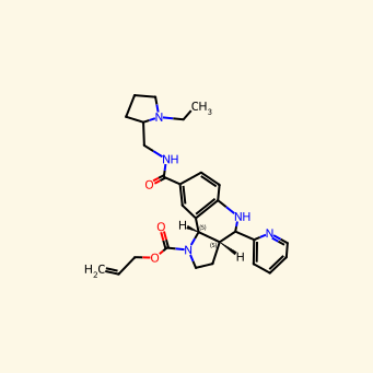 C=CCOC(=O)N1CC[C@H]2C(c3ccccn3)Nc3ccc(C(=O)NCC4CCCN4CC)cc3[C@H]21